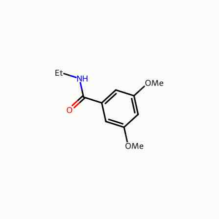 [CH2]CNC(=O)c1cc(OC)cc(OC)c1